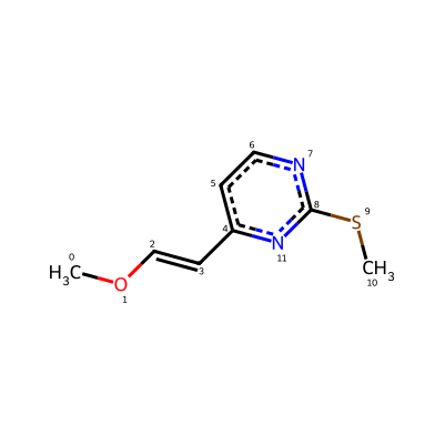 CO/C=C/c1ccnc(SC)n1